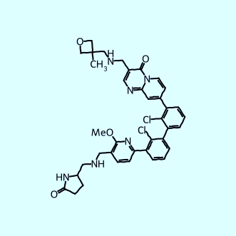 COc1nc(-c2cccc(-c3cccc(-c4ccn5c(=O)c(CNCC6(C)COC6)cnc5c4)c3Cl)c2Cl)ccc1CNCC1CCC(=O)N1